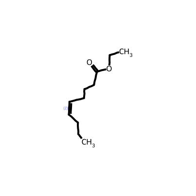 CCC/C=C\CCCC(=O)OCC